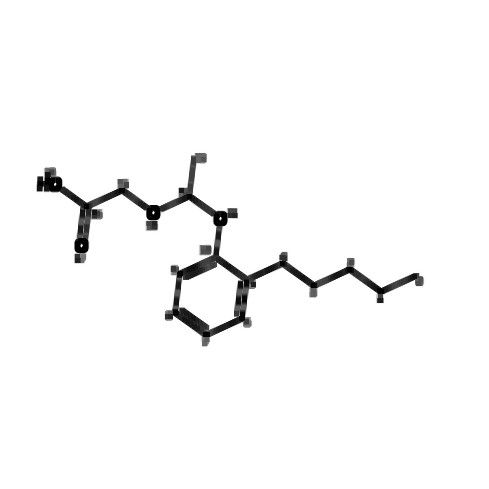 CCCCCc1ccccc1OC(C)OCC(=O)O